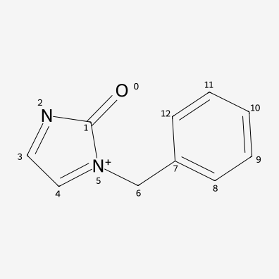 O=C1N=CC=[N+]1Cc1ccccc1